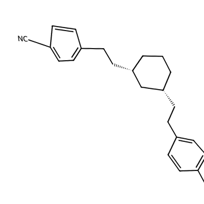 N#Cc1ccc(CC[C@H]2CCC[C@@H](CCc3ccc(C#N)cc3)C2)cc1